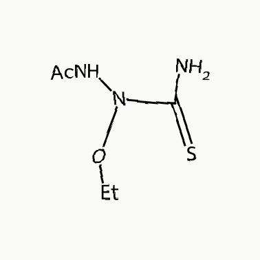 CCON(NC(C)=O)C(N)=S